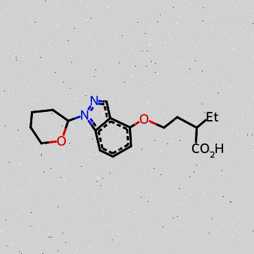 CCC(CCOc1cccc2c1cnn2C1CCCCO1)C(=O)O